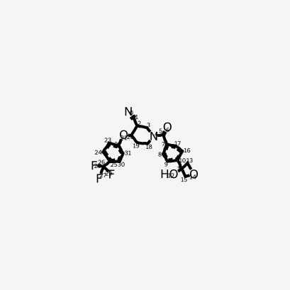 N#CC1CN(C(=O)c2ccc(C3(O)COC3)cc2)CCC1Oc1ccc(C(F)(F)F)cc1